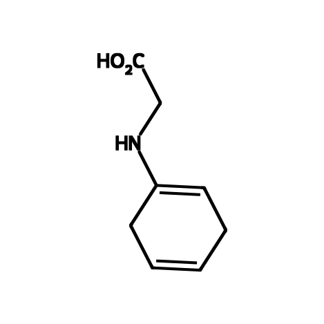 O=C(O)CNC1=CCC=CC1